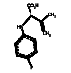 C=C(C)[C@H](Nc1ccc(F)cc1)C(=O)O